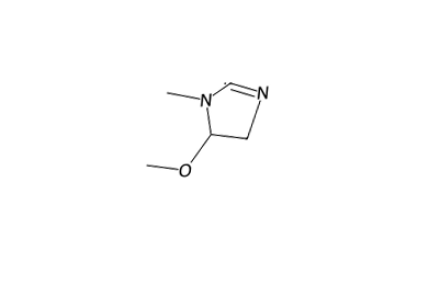 COC1CN=[C]N1C